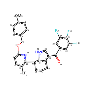 COc1ccc(COc2ccc(C(F)(F)F)c(-c3cccc4c(C(=O)c5cc(F)c(F)c(F)c5)c[nH]c34)n2)cc1